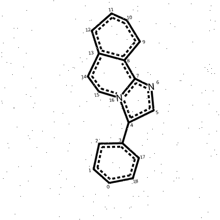 c1ccc(-c2cnc3c4ccccc4ccn23)cc1